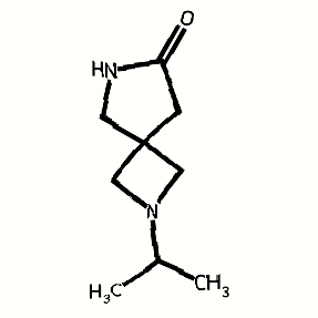 CC(C)N1CC2(CNC(=O)C2)C1